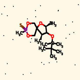 B[C@@H]1OC2(COP(C)(=S)OC2)[C@H](C)C1O[Si](C)(C)C(C)(C)C